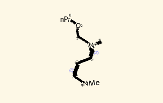 CCCOC/[N+](C)=C\C=C/NC